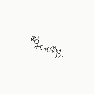 Cc1cc(C)cc(Nc2ncc3c(n2)CCN(C2CCN(C(=O)c4ccc5[nH]nnc5c4)CC2)C3)c1